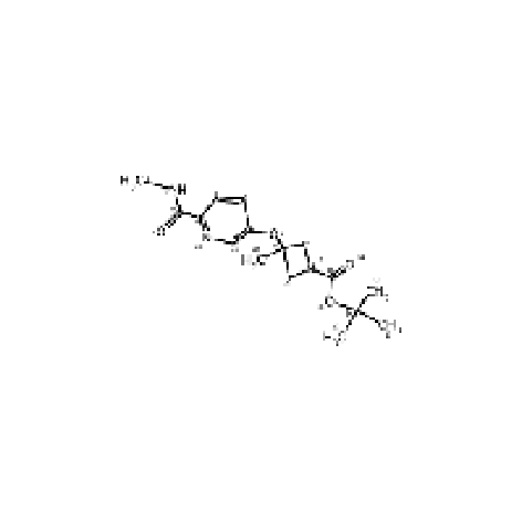 CNC(=O)c1ccc(OC2(C)CN(C(=O)OC(C)(C)C)C2)cn1